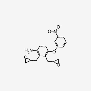 Nc1ccc(Oc2cccc([N+](=O)[O-])c2)c(CC2CO2)c1CC1CO1